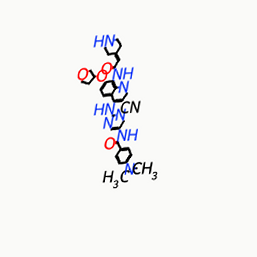 CN(C)c1ccc(C(=O)Nc2cnc(Nc3c(C#N)cnc4c(NC(=O)C=C5CCNCC5)c(OC5CCOC5)ccc34)nc2)cc1